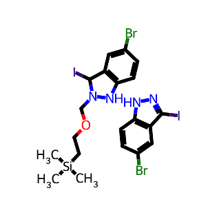 Brc1ccc2[nH]nc(I)c2c1.C[Si](C)(C)CCOCN1Nc2ccc(Br)cc2C1I